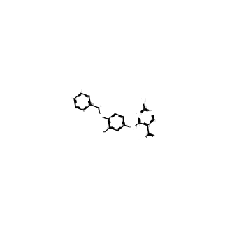 Nc1ncc(C(=O)O)c(Nc2ccc(OCc3ccccc3)c(Cl)c2)n1